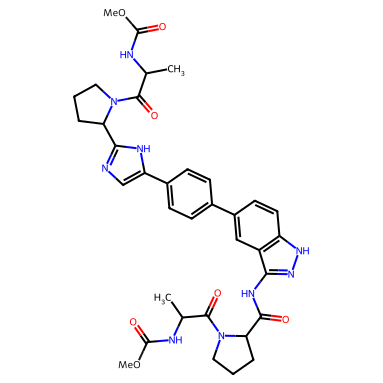 COC(=O)NC(C)C(=O)N1CCCC1C(=O)Nc1n[nH]c2ccc(-c3ccc(-c4cnc(C5CCCN5C(=O)C(C)NC(=O)OC)[nH]4)cc3)cc12